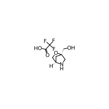 O=C(O)C(F)(F)F.OC[C@@]12CN[C@@H](CO1)C2